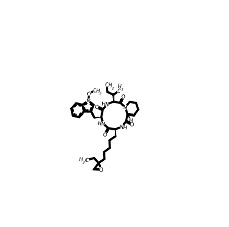 CCC(C)[C@@H]1NC(=O)[C@H](Cc2cn(OC)c3ccccc23)NC(=O)[C@H](CCCCCC2(CC)CO2)NC(=O)[C@H]2CCCCN2C1=O